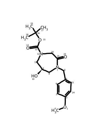 COc1ccc(CN2C[C@@H](O)CN(C(=O)OC(C)(C)C)CC2=O)cc1